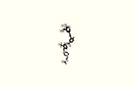 CC(=O)OCCN1CCN(Cc2ccc(NC(=O)c3ccc(C)c(C#Cc4cnc(N)c(C=N)c4)c3)cc2C(F)(F)F)CC1